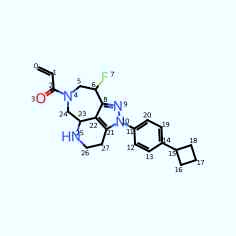 C=CC(=O)N1CC(F)c2nn(-c3ccc(C4CCC4)cc3)c3c2C(C1)NCC3